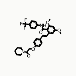 COc1cc(C=Cc2ccc(OCC(=O)N3CCCCC3)cc2)c(C(=O)Nc2ccc(C(F)(F)F)cc2)c(OC)c1